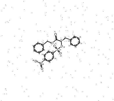 O=C(OCc1ccccc1)[C@@H](Cc1ccccc1)OS(=O)(=O)c1ccc([N+](=O)[O-])cc1